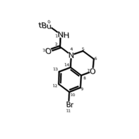 CC(C)(C)NC(=O)N1CCOc2cc(Br)ccc21